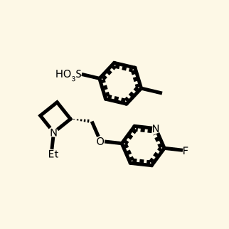 CCN1CC[C@@H]1COc1ccc(F)nc1.Cc1ccc(S(=O)(=O)O)cc1